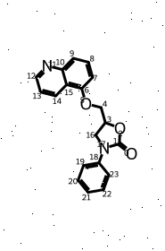 O=C1OC(COc2cccc3ncccc23)CN1c1ccccc1